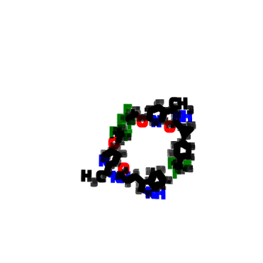 C[C@@H](NC(=O)/C=C/c1c[nH]c2ccccc12)c1ccc(OCC(F)(F)F)cn1.C[C@@H](NC(=O)C1C[C@H]1c1ccc(C(F)(F)F)cc1)c1ccc(OCC(F)(F)F)nc1